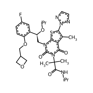 Cc1c(-n2nccn2)sc2c1c(=O)n(C(C)(C)C(=O)NC(C)C)c(=O)n2C[C@H](OC(C)C)c1cc(F)ccc1OCC1COC1